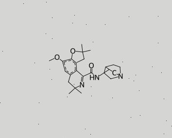 COc1cc2c(c3c1OC(C)(C)C3)C(C(=O)NC1CN3CCC1CC3)=NC(C)(C)C2